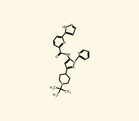 CC(C)(C)N1CCC(c2cc(NC(=O)c3cccc(-c4ccn[nH]4)n3)n(-c3ccccn3)n2)CC1